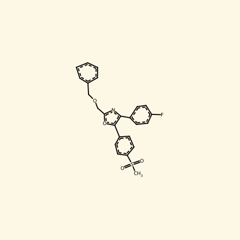 CS(=O)(=O)c1ccc(-c2oc(COCc3ccccc3)nc2-c2ccc(F)cc2)cc1